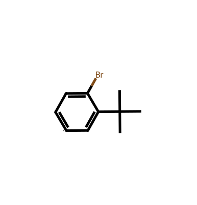 CC(C)(C)c1c[c]ccc1Br